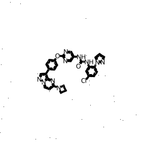 O=C(Nc1cnc(Oc2ccc(-c3cnn4ccc(N5CCC5)nc34)cc2)nc1)Nc1cc(Cl)ccc1-n1cccn1